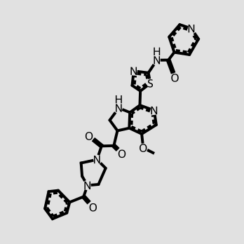 COc1cnc(-c2cnc(NC(=O)c3ccncc3)s2)c2c1C(C(=O)C(=O)N1CCN(C(=O)c3ccccc3)CC1)CN2